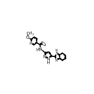 COc1ccc(C(=O)Nc2cc(-c3nc4ccccc4[nH]3)[nH]n2)cn1